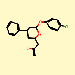 C=C(O)CC1CC(c2ccccc2)CC(Oc2ccc(Cl)cc2)O1